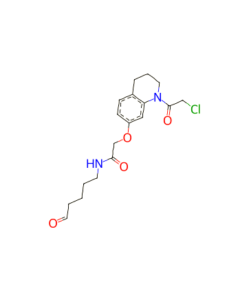 O=CCCCCNC(=O)COc1ccc2c(c1)N(C(=O)CCl)CCC2